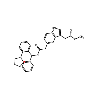 COC(=O)Cc1c[nH]c2ccc(CC(=O)NC(c3ccccc3)c3ccccc3N3CCCC3)cc12